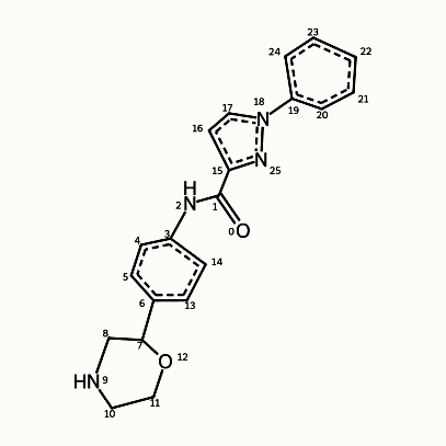 O=C(Nc1ccc(C2CNCCO2)cc1)c1ccn(-c2ccccc2)n1